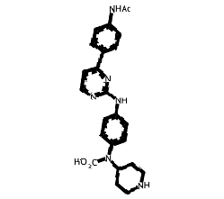 CC(=O)Nc1ccc(-c2ccnc(Nc3ccc(N(C(=O)O)C4CCNCC4)cc3)n2)cc1